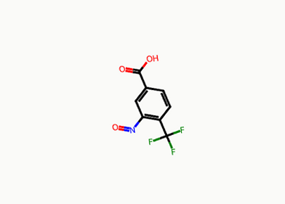 O=Nc1cc(C(=O)O)ccc1C(F)(F)F